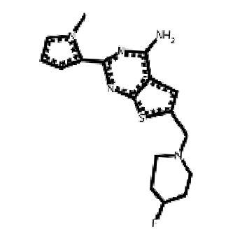 Cn1cccc1-c1nc(N)c2cc(CN3CCC(F)CC3)sc2n1